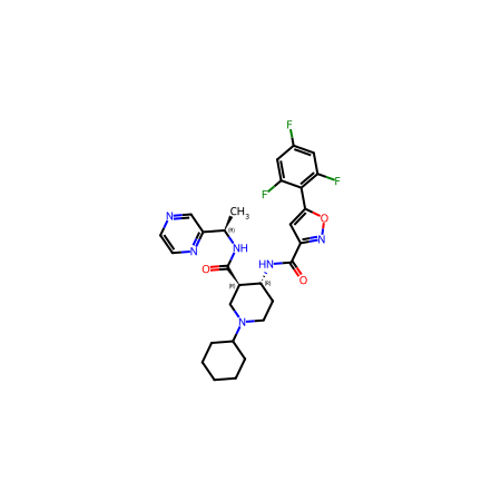 C[C@@H](NC(=O)[C@@H]1CN(C2CCCCC2)CC[C@H]1NC(=O)c1cc(-c2c(F)cc(F)cc2F)on1)c1cnccn1